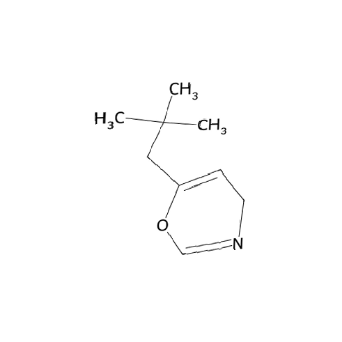 CC(C)(C)CC1=CCN=CO1